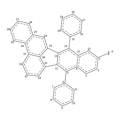 Ic1ccc2c(-c3ccccc3)c3c(c(-c4ccccc4)c2c1)-c1cc2ccccc2c2cccc-3c12